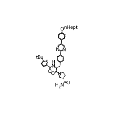 CCCCCCCOc1ccc(-c2cnc(-c3ccc(C[C@H](NC(=O)c4ccc(C(C)(C)C)s4)C(=O)N4CC[C@H](C(N)=O)C4)cc3)nc2)cc1